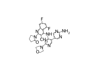 Cc1c(N2CCCC2=O)nc2cc(F)cc(F)c2c1Nc1cc(N2CCOCC2)ncc1-c1cnc(N)nc1